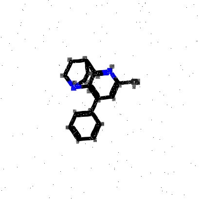 N#Cc1cc(-c2ccccc2)c2c(n1)C1CCN2CC1